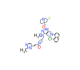 Cc1nccc(/C=C/C(=O)N2CC(CN(C)c3nc(OC[C@@]45CCCN4C[C@H](F)C5)nc4c3CCN(c3cccc5cccc(Cl)c35)C4)C2)n1